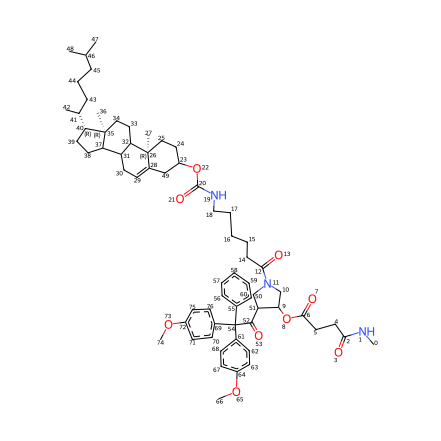 CNC(=O)CCC(=O)OC1CN(C(=O)CCCCCNC(=O)OC2CC[C@@]3(C)C(=CCC4C3CC[C@@]3(C)C4CC[C@@H]3C(C)CCCC(C)C)C2)CC1C(=O)C(c1ccccc1)(c1ccc(OC)cc1)c1ccc(OC)cc1